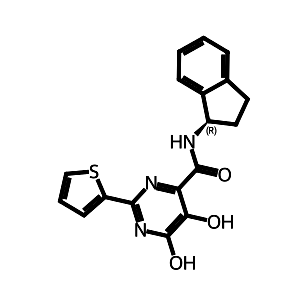 O=C(N[C@@H]1CCc2ccccc21)c1nc(-c2cccs2)nc(O)c1O